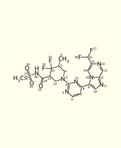 CC1CN(c2nccc(-c3cnc4cnc(C(F)F)cn34)n2)CC(C(=O)NS(C)(=O)=O)C1(F)F